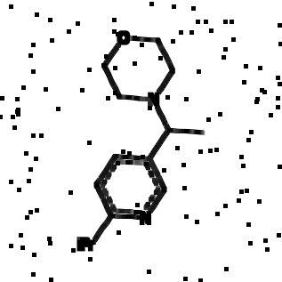 CC(C)c1ccc(C(C)N2CCOCC2)cn1